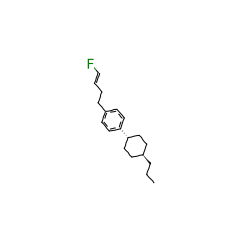 CCC[C@H]1CC[C@H](c2ccc(CC/C=C/F)cc2)CC1